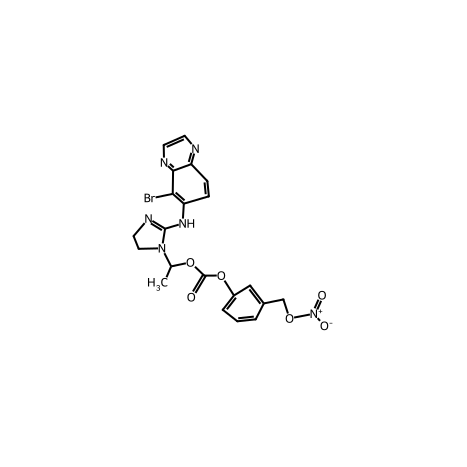 CC(OC(=O)Oc1cccc(CO[N+](=O)[O-])c1)N1CCN=C1Nc1ccc2nccnc2c1Br